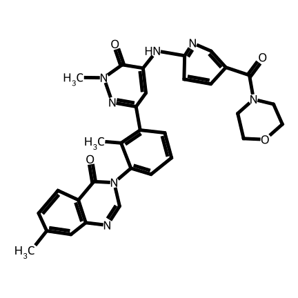 Cc1ccc2c(=O)n(-c3cccc(-c4cc(Nc5ccc(C(=O)N6CCOCC6)cn5)c(=O)n(C)n4)c3C)cnc2c1